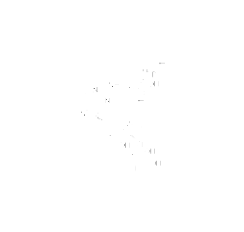 C#C[C@@]1(C)C[C@H](n2cnc3c(Cl)nc(N)nc32)C[C@H]1O.O=P(O)(O)O.O=P(O)(O)O.O=P(O)(O)O